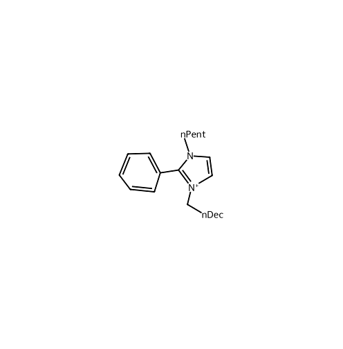 CCCCCCCCCCC[n+]1ccn(CCCCC)c1-c1ccccc1